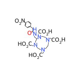 O=C(O)CN1CCCN(CC(=O)O)CCN(CC(=O)O)C(CNC(=O)Cc2ccc([N+](=O)[O-])cc2)CN(CC(=O)O)CC1